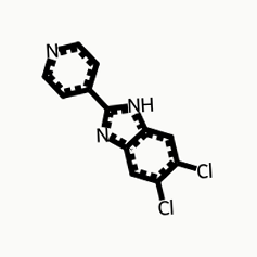 Clc1cc2nc(-c3ccncc3)[nH]c2cc1Cl